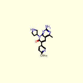 COc1ccc(-c2cc3c(C)nc(N)nc3n(C3CCNC3)c2=O)cn1